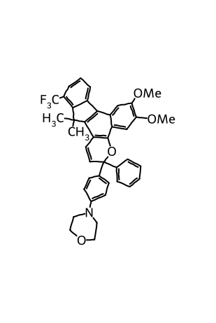 COc1cc2c3c(c4c(c2cc1OC)-c1cccc(C(F)(F)F)c1C4(C)C)C=CC(c1ccccc1)(c1ccc(N2CCOCC2)cc1)O3